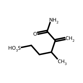 C=C(C(N)=O)C(C)CCS(=O)(=O)O